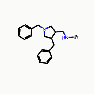 CC(C)NCC1CN(Cc2ccccc2)CC1Cc1ccccc1